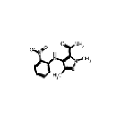 Cc1nn(C)c(C(N)=O)c1Nc1ccccc1[N+](=O)[O-]